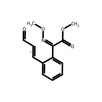 CON=C(C(=O)OC)c1ccccc1/C=C/C=O